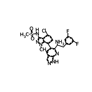 Cn1nc(NS(C)(=O)=O)c2c(Cl)ccc(-c3cc4cn[nH]c4nc3C(N)Cc3cc(F)cc(F)c3)c21